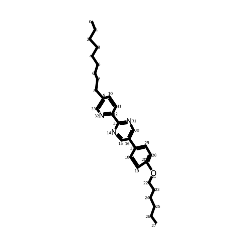 CCCCCCCCCc1ccc(-c2ncc(-c3ccc(OCCCCCC)cc3)cn2)nc1